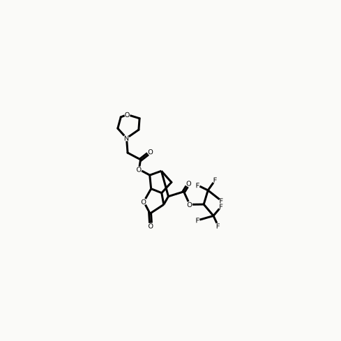 O=C(CN1CCOCC1)OC1C2CC3C1OC(=O)C3C2C(=O)OC(C(F)(F)F)C(F)(F)F